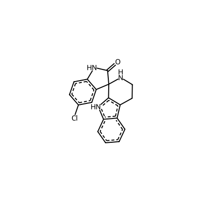 O=C1Nc2ccc(Cl)cc2C12NCCc1c2[nH]c2ccccc12